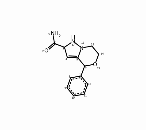 NC(=O)C1C=C2C(c3ccccc3)OCCN2N1